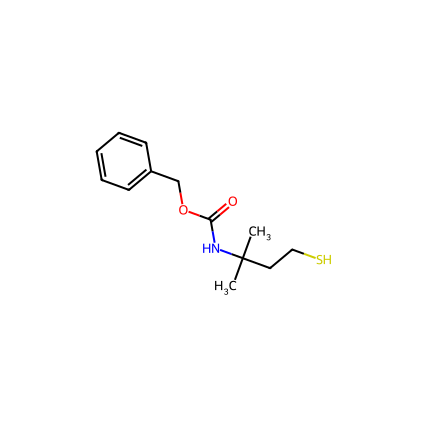 CC(C)(CCS)NC(=O)OCc1ccccc1